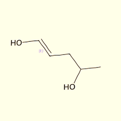 CC(O)C/C=C/O